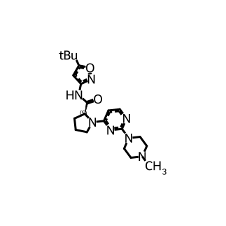 CN1CCN(c2nccc(N3CCC[C@H]3C(=O)Nc3cc(C(C)(C)C)on3)n2)CC1